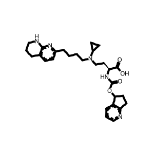 O=C(N[C@@H](CCN(CCCCc1ccc2c(n1)NCCC2)C1CC1)C(=O)O)OC1CCc2ncccc21